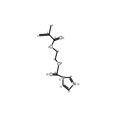 C=C(C)C(=O)OCCOC(=O)n1ccnc1